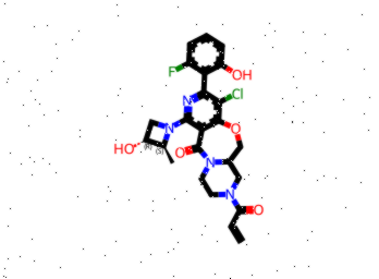 C=CC(=O)N1CCN2C(=O)c3c(N4C[C@@H](O)[C@@H]4C)nc(-c4c(O)cccc4F)c(Cl)c3OCC2C1